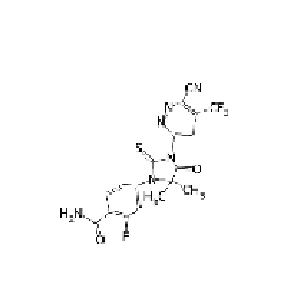 CC1(C)C(=O)N(c2cc(C(F)(F)F)c(C#N)nn2)C(=S)N1c1ccc(C(N)=O)c(F)c1